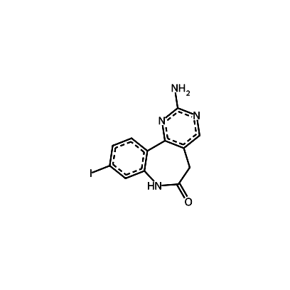 Nc1ncc2c(n1)-c1ccc(I)cc1NC(=O)C2